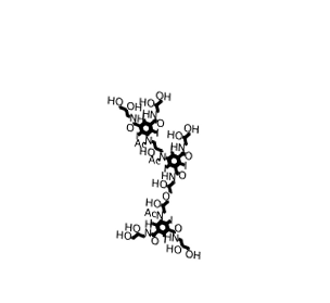 CC(=O)N(CC(O)COCC(O)CNC(=O)c1c(I)c(C(=O)NCC(O)CO)c(I)c(N(CC(O)CN(C(C)=O)c2c(I)c(C(=O)NCC(O)CO)c(I)c(C(=O)NCC(O)CO)c2I)C(C)=O)c1I)c1c(I)c(C(=O)NCC(O)CO)c(I)c(C(=O)NCC(O)CO)c1I